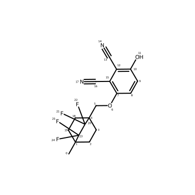 CC12CCC(COc3ccc(O)c(C#N)c3C#N)(CC1)C(F)(F)C2(F)F